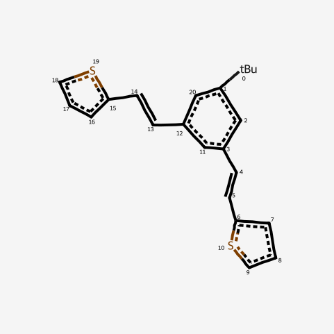 CC(C)(C)c1cc(/C=C/c2cccs2)cc(/C=C/c2cccs2)c1